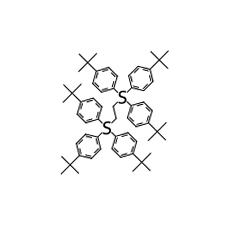 CC(C)(C)c1ccc(S(CCS(c2ccc(C(C)(C)C)cc2)(c2ccc(C(C)(C)C)cc2)c2ccc(C(C)(C)C)cc2)(c2ccc(C(C)(C)C)cc2)c2ccc(C(C)(C)C)cc2)cc1